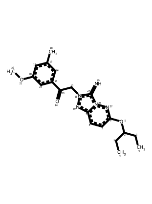 CCC(CC)Oc1ccc2nn(CC(=O)c3cc(C)cc(OC)c3)c(=N)n2n1